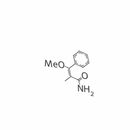 CO/C(=C(\C)C(N)=O)c1ccccc1